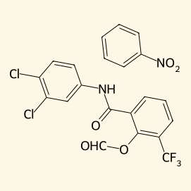 O=COc1c(C(=O)Nc2ccc(Cl)c(Cl)c2)cccc1C(F)(F)F.O=[N+]([O-])c1ccccc1